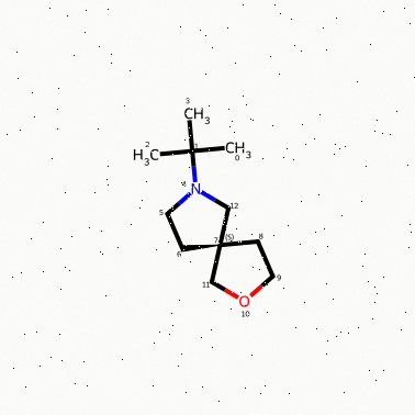 CC(C)(C)N1CC[C@]2(CCOC2)C1